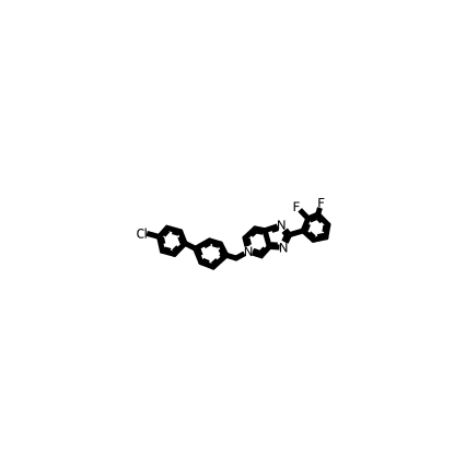 Fc1cccc(-c2nc3ccn(Cc4ccc(-c5ccc(Cl)cc5)cc4)cc-3n2)c1F